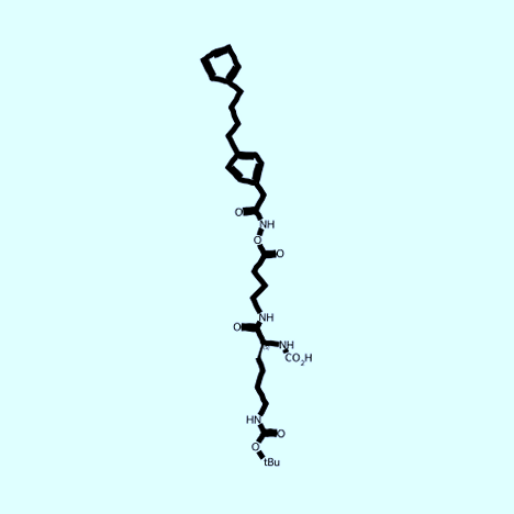 CC(C)(C)OC(=O)NCCCC[C@H](NC(=O)O)C(=O)NCCCC(=O)ONC(=O)Cc1ccc(CCCCc2ccccc2)cc1